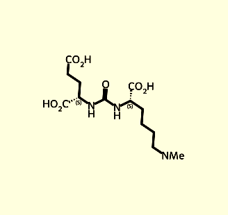 CNCCCC[C@H](NC(=O)N[C@@H](CCC(=O)O)C(=O)O)C(=O)O